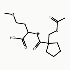 CSCCC(NC(=O)C1(CSC(C)=O)CCCC1)C(=O)O